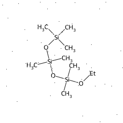 CCO[Si](C)(C)O[Si](C)(C)O[Si](C)(C)C